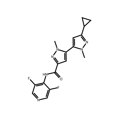 Cn1nc(C(=O)Nc2c(F)cncc2F)cc1-c1cc(C2CC2)nn1C